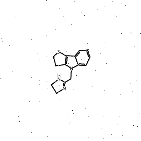 c1ccc2c(c1)c1c(n2CC2=NCCN2)CCS1